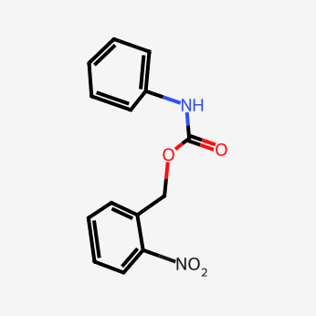 O=C(Nc1ccccc1)OCc1ccccc1[N+](=O)[O-]